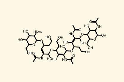 CNC1C(OC(/C=C(/NC(C)=O)C(O)OC(CCO)/C(O)=C(/NC(C)=O)C(O)OC(CCO)/C(O)=C(/NC(C)=O)C(O)OC2C(CO)OC(O)C(NC(C)=O)C2O)CCO)OC(CO)C(O)C1O